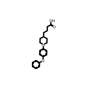 O=C(O)CCCC1CCN(c2ccc(Oc3ccccc3)cc2)CC1